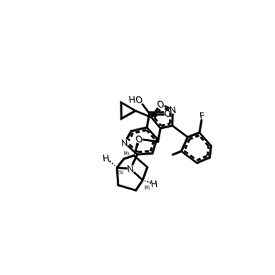 Cc1cccc(F)c1-c1noc(C2CC2)c1CO[C@H]1C[C@H]2CC[C@@H](C1)N2c1ccc(C(=O)O)cn1